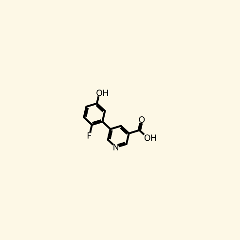 O=C(O)c1cncc(-c2cc(O)ccc2F)c1